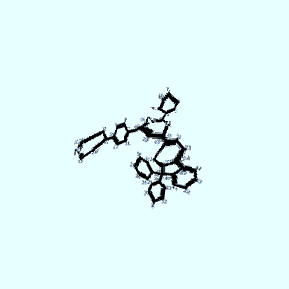 c1ccc(-c2nc(-c3ccc(-c4ccncc4)cc3)cc(-c3ccc4c(c3)C(c3ccccc3)(c3ccccc3)c3ccccc3-4)n2)cc1